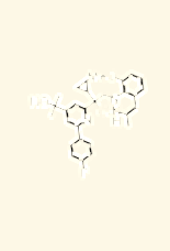 COc1cccc2c1N(CC(O)(c1cc(C(C)(C)O)cc(-c3ccc(F)cc3)n1)C1CC1)NC(C)=C2